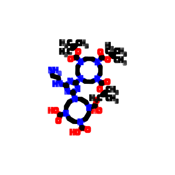 CC(C)(C)OC(=O)N1CCN(C(=O)OC(C)(C)C)CCN(c2nc(NCCN)nc(N3CCN(C(=O)O)CCN(C(=O)O)CCN(C(=O)O)CC3)n2)CCN(C(=O)OC(C)(C)C)CC1